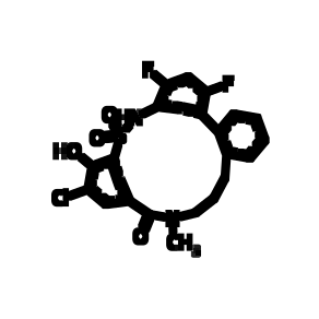 CN1CCCc2ccccc2-c2cc(c(F)cc2F)NS(=O)(=O)c2cc(cc(Cl)c2O)C1=O